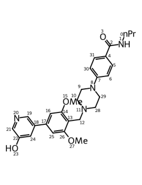 CCCNC(=O)c1ccc(N2CCN(Cc3c(OC)cc(-c4cncc(O)c4)cc3OC)CC2)cc1